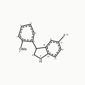 COc1ccccc1C1CNc2ccc(F)cc21